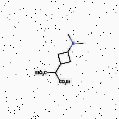 CCOC(=O)C(C(=O)OCC)C1CC(N(C)C)C1